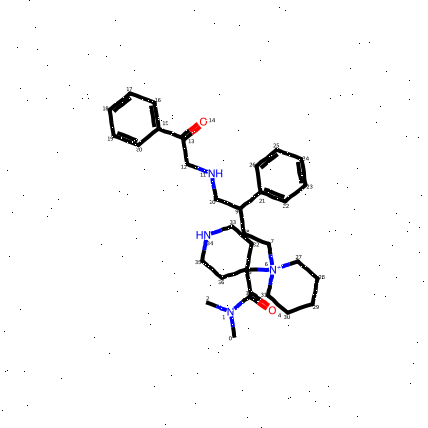 CN(C)C(=O)C1([N+]2(CCC(CNCC(=O)c3ccccc3)c3ccccc3)CCCCC2)CCNCC1